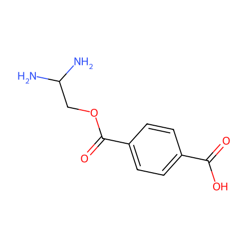 NC(N)COC(=O)c1ccc(C(=O)O)cc1